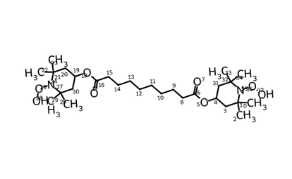 CC1(C)CC(OC(=O)CCCCCCCCC(=O)OC2CC(C)(C)N(OO)C(C)(C)C2)CC(C)(C)N1OO